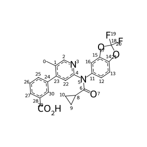 Cc1cnc(N(C(=O)C2CC2)c2ccc3c(c2)OC(F)(F)O3)cc1-c1cccc(C(=O)O)c1